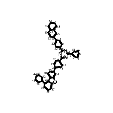 c1ccc(-c2nc(-c3ccc(-c4ccc5ccccc5c4)cc3)nc(-c3ccc(-c4ccc5c(c4)oc4cccc(-c6ccccc6)c45)cc3)n2)cc1